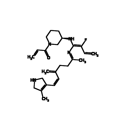 C=CC(=O)N1CCC[C@@H](NC(/N=C(\C)CCC(=C)/C=C\C2=C(C)CNC2)=C(\F)C=C)C1